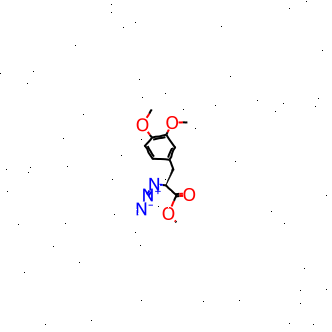 COC(=O)[C@H](Cc1ccc(OC)c(OC)c1)N=[N+]=[N-]